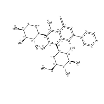 O=c1cc(-c2ccccc2)oc2c([C@@H]3O[C@H](CO)[C@@H](O)[C@H](O)[C@H]3O)c(O)c([C@@H]3OC[C@H](O)[C@H](O)[C@H]3O)c(O)c12